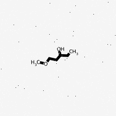 CCC(O)CCOC